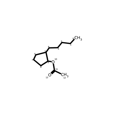 CCCCCC1CCCC1OC(C)=O